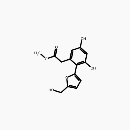 COC(=O)Cc1cc(O)cc(O)c1-c1ccc(CO)o1